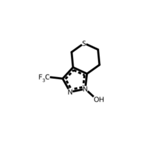 On1nc(C(F)(F)F)c2c1CCSC2